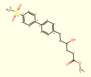 COC(=O)CCC(O)CCc1ccc(-c2ccc(S(C)(=O)=O)cc2)cc1